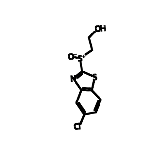 [O-][S+](CCO)c1nc2cc(Cl)ccc2s1